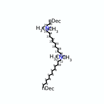 CCCCCCCCCCCCCCCCCCCCCC[N+](C)(C)CCCCCC[CH]CCC[N+](C)(C)CCCCCCCCCCCC